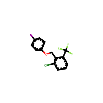 FC(F)(F)c1cccc(Cl)c1COc1ccc(I)cc1